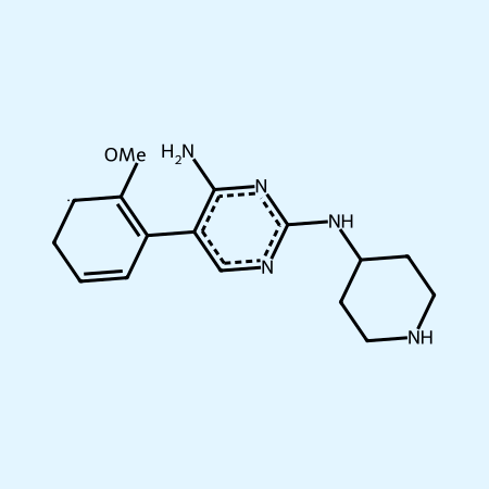 COC1=C(c2cnc(NC3CCNCC3)nc2N)C=CC[CH]1